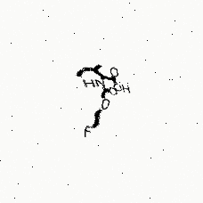 CCC(C)C(NC(=O)COCCF)C(=O)O